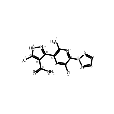 Cc1nc(-n2nccn2)c(Cl)cc1-c1n[nH]c(C(F)(F)F)c1C(N)=O